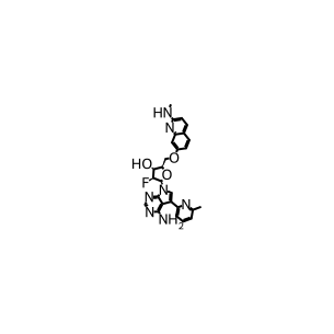 CNc1ccc2ccc(OC[C@H]3O[C@@H](n4cc(-c5cccc(C)n5)c5c(N)ncnc54)[C@@H](F)[C@@H]3O)cc2n1